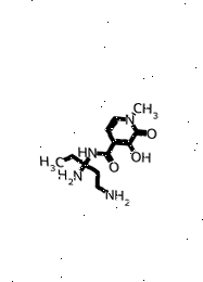 CCC(N)(CCN)NC(=O)c1ccn(C)c(=O)c1O